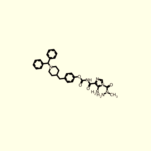 CN(N)C(=O)n1cnc(C(=O)NC(=O)Oc2ccc(CC3CCN(C(c4ccccc4)c4ccccc4)CC3)cc2)c1N